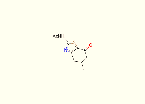 CC(=O)Nc1nc2c(s1)C(=O)CC(C)C2